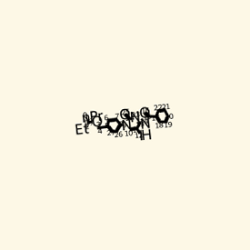 CCC[C@H](CC)OCc1ccc(-n2cc(I)c(NC(=O)c3ccccc3)nc2=O)cc1